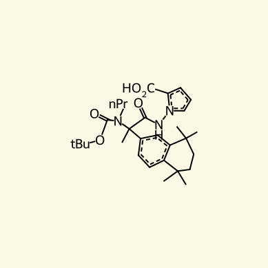 CCCN(C(=O)OC(C)(C)C)C(C)(C(=O)Nn1cccc1C(=O)O)c1ccc2c(c1)C(C)(C)CCC2(C)C